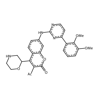 COc1cccc(-c2ccnc(Nc3ccc4c(C5CNCCO5)c(C(C)=O)c(=O)oc4c3)n2)c1OC